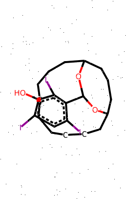 Oc1c(I)cc(I)c(C2OC3CCCCCCCCCC(CCC3)O2)c1I